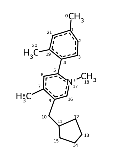 Cc1ccc(-c2cc(C)c(CC3CCCC3)c[n+]2C)c(C)c1